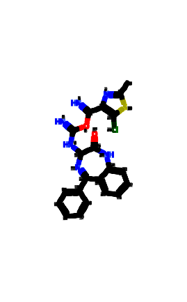 Cc1nc(C(=N)OC(=N)NC2N=C(c3ccccc3)c3ccccc3NC2=O)c(Cl)s1